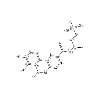 CC(Nc1cnc(C(=O)N[C@H](C)/C=C/S(C)(=O)=O)nc1)c1cccc(F)c1F